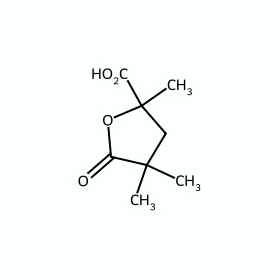 CC1(C)CC(C)(C(=O)O)OC1=O